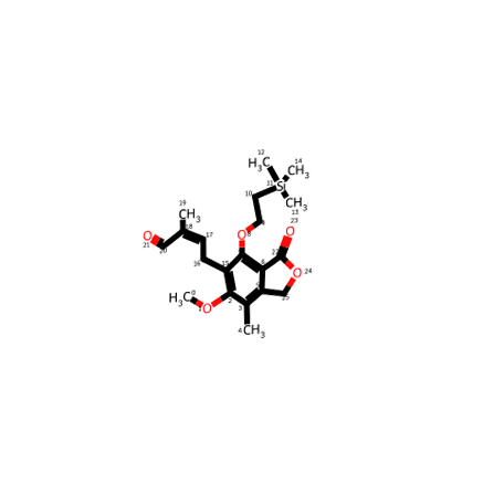 COc1c(C)c2c(c(OCC[Si](C)(C)C)c1CC=C(C)C=O)C(=O)OC2